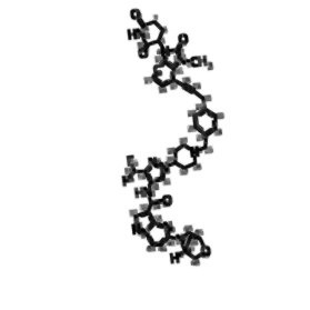 Cn1c(=O)n(C2CCC(=O)NC2=O)c2cccc(C#CCc3ccc(CN4CCC(n5cc(NC(=O)c6cnn7ccc(N8CC9C[C@@H]8CO9)nc67)c(C(F)F)n5)CC4)cc3)c21